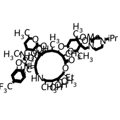 CC[C@H]1OC(=O)[C@H](C)[C@@H](O[C@H]2C[C@@](C)(OC)[C@](O)(CN3CCN(C(C)C)CC3)[C@H](C)O2)[C@H](C)[C@@H](O[C@@H]2O[C@H](C)C[C@H](N(C)S(=O)(=O)Nc3ccc(C(F)(F)F)cc3)[C@H]2O)[C@](C)(O)C[C@@H](C)CN[C@H](C)[C@@H](O)[C@]1(C)O